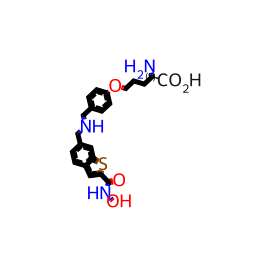 N[C@@H](CCCOc1ccc(CNCc2ccc3cc(C(=O)NO)sc3c2)cc1)C(=O)O